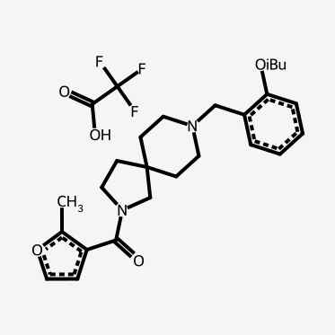 Cc1occc1C(=O)N1CCC2(CCN(Cc3ccccc3OCC(C)C)CC2)C1.O=C(O)C(F)(F)F